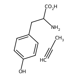 C#CC.NC(Cc1ccc(O)cc1)C(=O)O